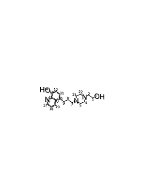 OCCN1CCN(CCCc2ccc(O)c3ncccc23)CC1